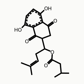 CC(C)=CCC(OC(=O)CC(C)C)C1CC(=O)c2c(O)ccc(O)c2C1=O